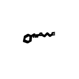 ClCCCONCc1ccccc1